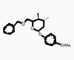 COc1ccc(O[C@H]2C[C@@H](C)[C@H](C)C(COCc3ccccc3)O2)cc1